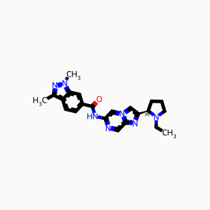 CCN1CCC[C@@H]1c1cn2cc(NC(=O)c3ccc4c(C)nn(C)c4c3)ncc2n1